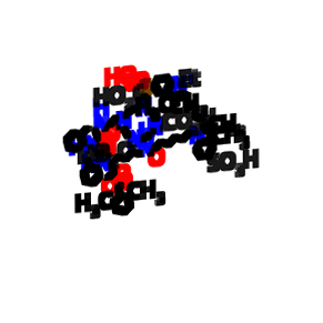 CC[N+]1=C(/C=C/C=C/C=C2\N(CCCCCC(=O)NCCCC[C@H](NC(=O)[C@H](Cc3ccccc3)NC(=O)[C@H](Cc3ccccc3)NC(=O)CN3CCN(CC(=O)O)CCN(CC(=O)O)CCN(CC(=O)O)CC3)C(=O)COC(=O)c3c(C)cccc3C)c3ccc(S(=O)(=O)O)cc3C2(C)C)C(C)(C)c2cc(SOOO)ccc21